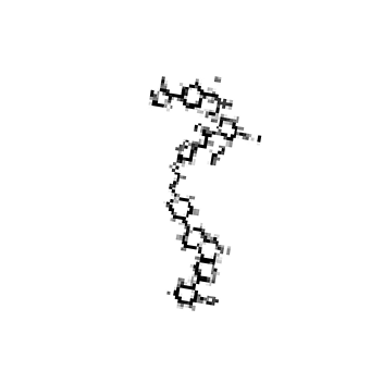 Cc1ncsc1-c1ccc([C@H](C)NC(=O)[C@@H]2C[C@@H](O)CN2C(=O)[C@@H](c2cc(OCCN3CCC(N4CCN5c6cc(-c7ccccc7O)nnc6NCC5C4)CC3)no2)C(C)C)cc1